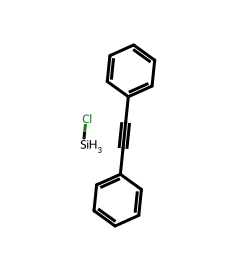 C(#Cc1ccccc1)c1ccccc1.[SiH3]Cl